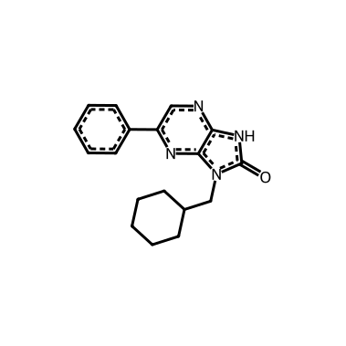 O=c1[nH]c2ncc(-c3ccccc3)nc2n1CC1CCCCC1